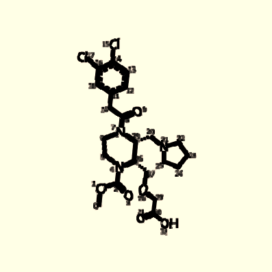 COC(=O)N1CCN(C(=O)Cc2ccc(Cl)c(Cl)c2)[C@H](CN2CCCC2)[C@@H]1COCC(=O)O